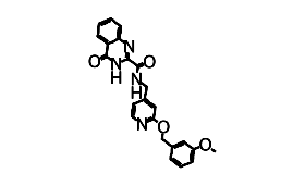 COc1cccc(COc2cc(CNC(=O)c3nc4ccccc4c(=O)[nH]3)ccn2)c1